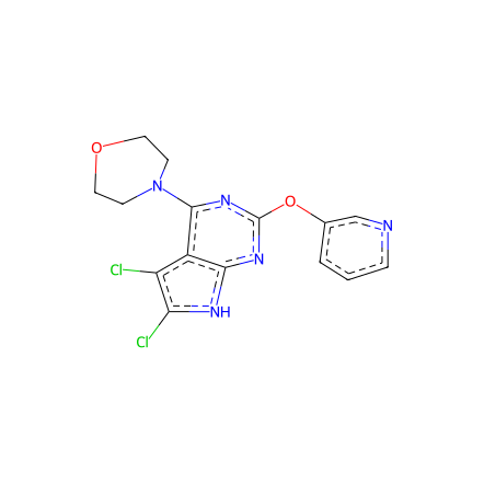 Clc1[nH]c2nc(Oc3cccnc3)nc(N3CCOCC3)c2c1Cl